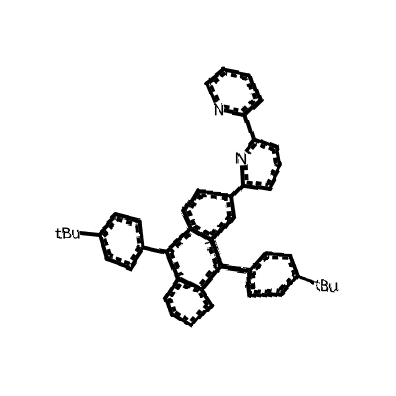 CC(C)(C)c1ccc(-c2c3ccccc3c(-c3ccc(C(C)(C)C)cc3)c3cc(-c4cccc(-c5ccccn5)n4)ccc23)cc1